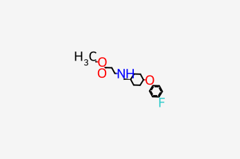 CCOC(=O)CCNC[C@H]1CC[C@@H](Oc2ccc(F)cc2)CC1